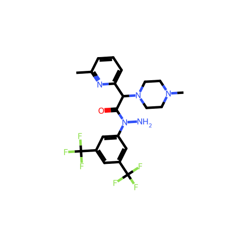 Cc1cccc(C(C(=O)N(N)c2cc(C(F)(F)F)cc(C(F)(F)F)c2)N2CCN(C)CC2)n1